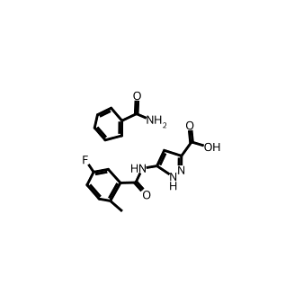 Cc1ccc(F)cc1C(=O)Nc1cc(C(=O)O)n[nH]1.NC(=O)c1ccccc1